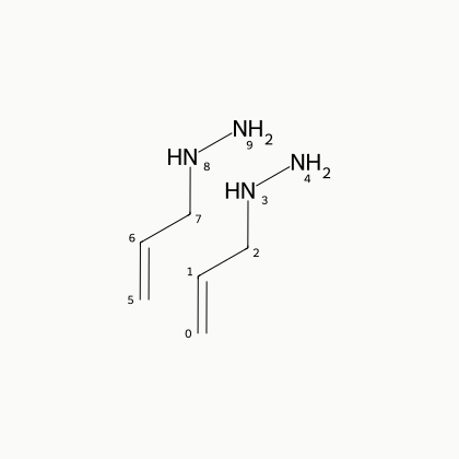 C=CCNN.C=CCNN